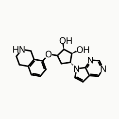 O[C@@H]1[C@H](O)C(Oc2cccc3c2CNCC3)C[C@H]1n1ccc2cncnc21